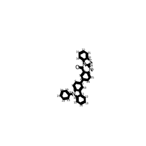 O=c1c2cc(-c3ccc4c(c3)c3ccccc3n4-c3ccccc3)ccc2nc2sc3ccccc3n12